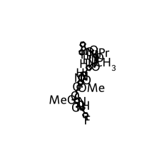 COc1cc2c(cc1OCCCOc1cc3c(cc1OC)C(=O)N1C=C(c4ccc(NC(=O)C(C)NC(=O)[C@@H](NC(=O)OCC5c6ccccc6-c6ccccc65)C(C)C)cc4)C[C@H]1C=N3)N=C[C@@H]1CC(c3ccc(F)cc3)=CN1C2=O